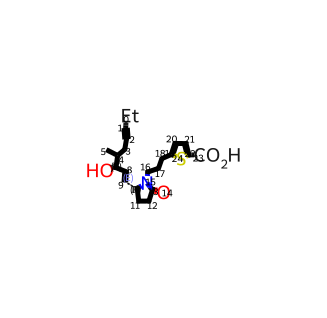 CCC#CCC(C)[C@H](O)/C=C/[C@H]1CCC(=O)N1CCCc1ccc(C(=O)O)s1